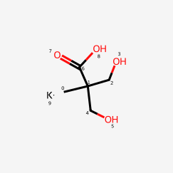 CC(CO)(CO)C(=O)O.[K]